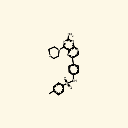 Cc1ccc(S(=O)(=O)Nc2ccc(-c3cnc4nc(N)nc(N5CCOCC5)c4n3)cc2)cc1